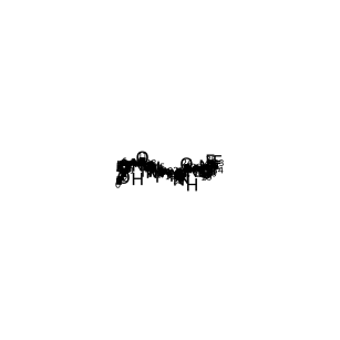 CCOc1cccc(CNC(=O)c2cn(CC(F)CCn3cc(C(=O)NCc4cccc(C(F)(F)F)n4)nn3)nn2)c1